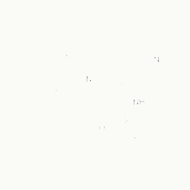 CC(C)(C)OC(=O)N1CC(C#N)(N[S+]([O-])C(C)(C)C)C1